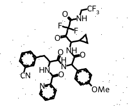 COc1ccc(C(NC(=O)C(Cc2cccc(C#N)c2)NC(=O)c2ccccn2)C(=O)NC(C(=O)C(F)(F)C(=O)NCC(F)(F)F)C2CC2)cc1